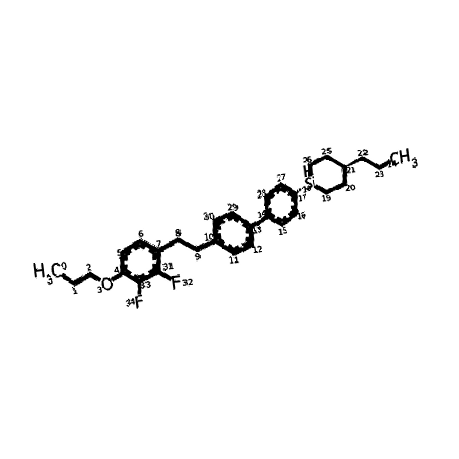 CCCOc1ccc(CCc2ccc(-c3ccc([Si@H]4CC[C@H](CCC)CC4)cc3)cc2)c(F)c1F